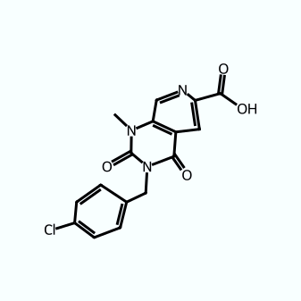 Cn1c(=O)n(Cc2ccc(Cl)cc2)c(=O)c2cc(C(=O)O)ncc21